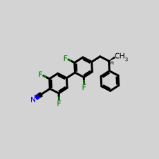 C[C@H](Cc1cc(F)c(-c2cc(F)c(C#N)c(F)c2)c(F)c1)c1ccccc1